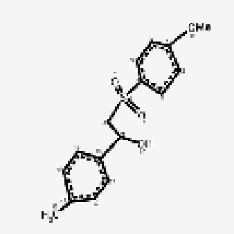 COc1ccc(S(=O)(=O)CC(O)c2ccc(C)cc2)cc1